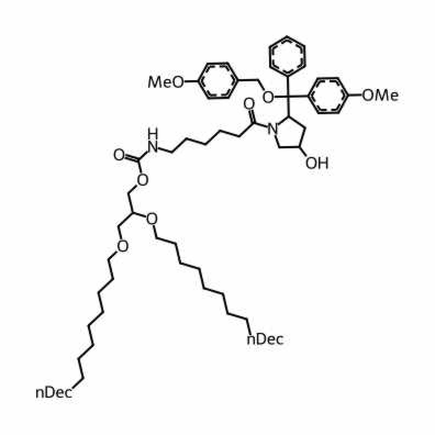 CCCCCCCCCCCCCCCCCCOCC(COC(=O)NCCCCCC(=O)N1CC(O)CC1C(OCc1ccc(OC)cc1)(c1ccccc1)c1ccc(OC)cc1)OCCCCCCCCCCCCCCCCCC